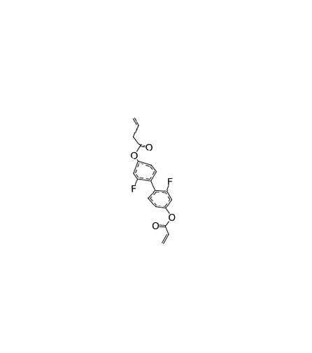 C=CCC(=O)Oc1ccc(-c2ccc(OC(=O)C=C)cc2F)c(F)c1